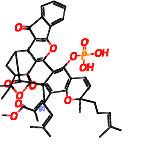 COC(=O)/C(C)=C\CC12OC(C)(C)C3CC(C1=O)C1C4=C(OC5=C1C32Oc1c(CC=C(C)C)c2c(c(OP(=O)(O)O)c15)C=CC(C)(CCC=C(C)C)O2)c1ccccc1C4=O